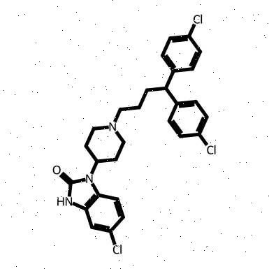 O=c1[nH]c2cc(Cl)ccc2n1C1CCN(CCCC(c2ccc(Cl)cc2)c2ccc(Cl)cc2)CC1